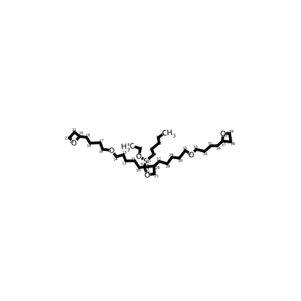 CCCCC[SiH](OCC)C1(CCCCCOCCCCC2CCO2)OCC1CCCCCOCCCCC1CCO1